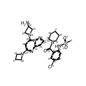 CS(=O)(=O)Nc1ccc(Cl)cc1C(=O)N1CCCC[C@H]1c1cc2nc(N3CCC3)cc(N3CC(N)C3)n2n1